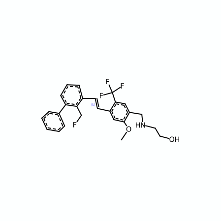 COc1cc(/C=C/c2cccc(-c3ccccc3)c2CF)c(C(F)(F)F)cc1CNCCO